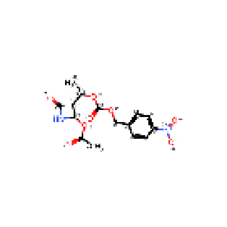 CC(=O)O[C@H]1NC(=O)[C@@H]1[C@@H](C)OC(=O)OCc1ccc([N+](=O)[O-])cc1